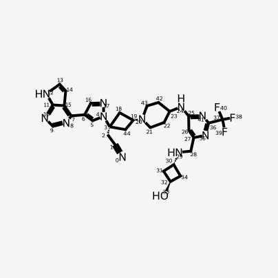 N#CC[C@]1(n2cc(-c3ncnc4[nH]ccc34)cn2)C[C@H](N2CCC(Nc3cc(CN[C@H]4C[C@H](O)C4)nc(C(F)(F)F)n3)CC2)C1